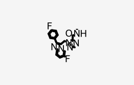 CNC(=O)c1ncnn1Cc1c(-c2ccc(F)cc2)nc2ccc(F)cn12